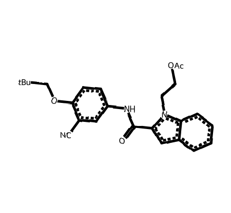 CC(=O)OCCn1c(C(=O)Nc2ccc(OCC(C)(C)C)c(C#N)c2)cc2ccccc21